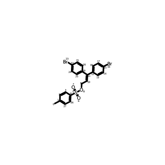 Cc1ccc(S(=O)(=O)OCC=C(c2ccc(Br)cc2)c2ccc(Br)cc2)cc1